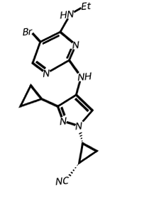 CCNc1nc(Nc2cn([C@@H]3C[C@@H]3C#N)nc2C2CC2)ncc1Br